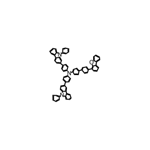 c1ccc(-n2c3ccccc3c3cc(-c4ccc(N(c5ccc(-c6ccc(-c7cccc8c7oc7ccccc78)cc6)cc5)c5ccc(-c6ccc7c8ccccc8n(-c8ccccc8)c7c6)cc5)cc4)ccc32)cc1